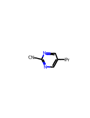 [C-]#[N+]c1ncc(C(C)C)cn1